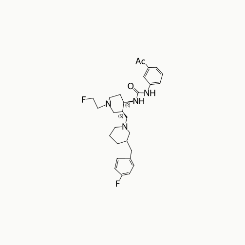 CC(=O)c1cccc(NC(=O)N[C@@H]2CCN(CCF)C[C@@H]2CN2CCCC(Cc3ccc(F)cc3)C2)c1